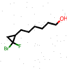 OCCCCCCC1CC1(F)Br